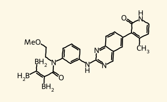 BC(B)=C(B)C(=O)N(CCOC)c1cccc(Nc2ncc3cc(-c4c(C)cc[nH]c4=O)ccc3n2)c1